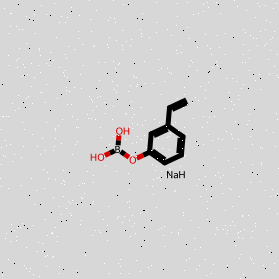 C=Cc1cccc(OB(O)O)c1.[NaH]